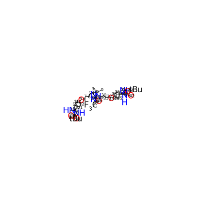 Cc1c(C)n(CCCCOc2ccc(C(=N)NC(=O)OC(C)(C)C)cc2)c(=NC(=O)C(F)(F)F)n1CCCCOc1ccc(C(=N)NC(=O)OC(C)(C)C)cc1